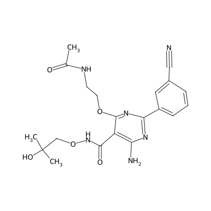 CC(=O)NCCOc1nc(-c2cccc(C#N)c2)nc(N)c1C(=O)NOCC(C)(C)O